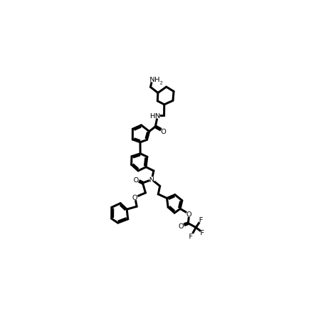 NCC1CCCC(CNC(=O)c2cccc(-c3cccc(CN(CCc4ccc(OC(=O)C(F)(F)F)cc4)C(=O)COCc4ccccc4)c3)c2)C1